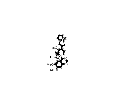 COc1cc2ncnc([N@@+]3(O[SiH3])CCC(C(C)CN4CCCS4(=O)=O)[C@@H](C(C)(C)C)C3(C)C)c2cc1OC